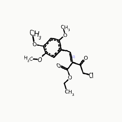 CCOC(=O)/C(=C\c1cc(OC)c(OC)cc1OC)C(=O)CCl